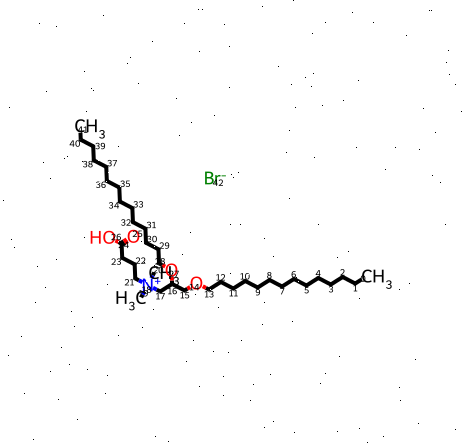 CCCCCCCCCCCCCCOCC(C[N+](C)(C)CCCC(=O)O)OCCCCCCCCCCCCCC.[Br-]